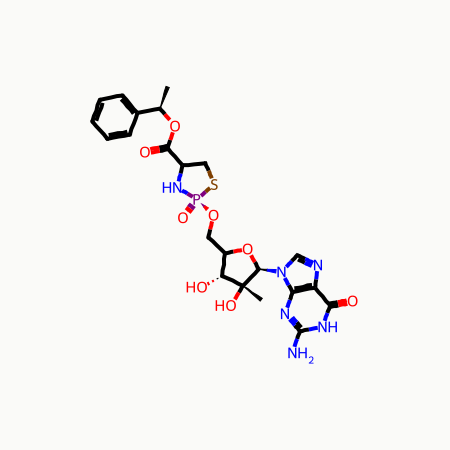 C[C@@H](OC(=O)C1CS[P@@](=O)(OCC2O[C@@H](n3cnc4c(=O)[nH]c(N)nc43)[C@](C)(O)[C@@H]2O)N1)c1ccccc1